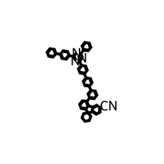 N#Cc1ccc2c(c1)-c1c(-c3cccc(-c4ccc(-c5ccc(-c6nc(-c7ccccc7)nc(-c7ccc(-c8ccccc8)cc7)n6)cc5)cc4)c3)cccc1C21CCCCC1